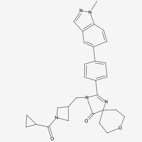 Cn1ncc2cc(-c3ccc(C4=NC5(CCOCC5)C(=O)N4CC4CN(C(=O)C5CC5)C4)cc3)ccc21